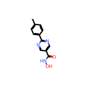 [CH2]c1ccc(-c2ncc(C(=O)NO)cn2)cc1